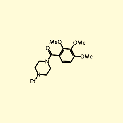 CCN1CCN(C(=O)c2ccc(OC)c(OC)c2OC)CC1